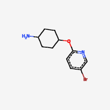 NC1CCC(Oc2ccc(Br)cn2)CC1